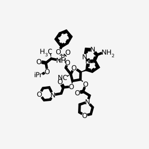 CC(C)OC(=O)[C@H](C)N[P@](=O)(OC[C@@]1(C#N)O[C@@H](c2ccc3c(N)ncnn23)[C@H](OC(=O)CN2CCOCC2)[C@@H]1OC(=O)CN1CCOCC1)Oc1ccccc1